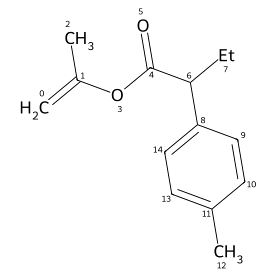 C=C(C)OC(=O)C(CC)c1ccc(C)cc1